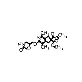 COC(=O)C1(C(=O)OC)Cc2c(C)nc(OCC3CNC(=O)CO3)c(C)c2C1